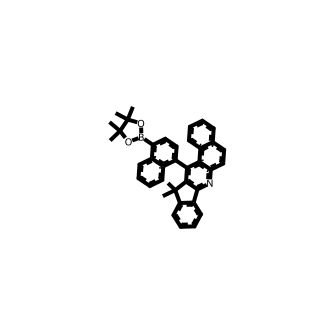 CC1(C)c2ccccc2-c2nc3ccc4ccccc4c3c(-c3ccc(B4OC(C)(C)C(C)(C)O4)c4ccccc34)c21